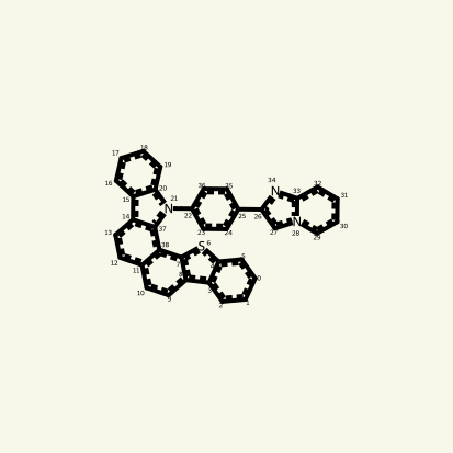 c1ccc2c(c1)sc1c2ccc2ccc3c4ccccc4n(-c4ccc(-c5cn6ccccc6n5)cc4)c3c21